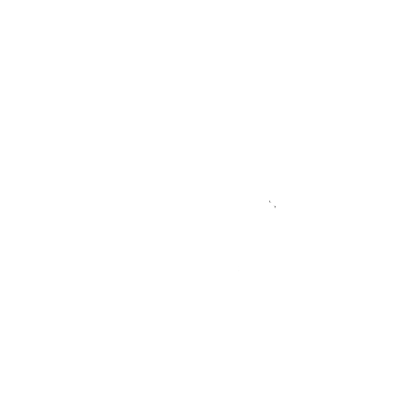 CC1=NOC2CCCC=C12